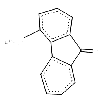 CCOC(=O)c1cccc2c1-c1ccccc1C2=O